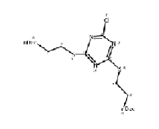 CCCCCCCCCCCCSc1nc(Cl)nc(SCCCCCCCCCCCC)n1